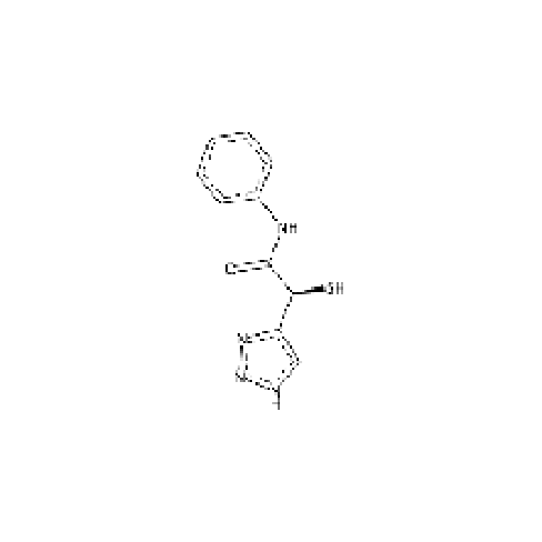 O=C(Nc1ccccc1)[C@@H](S)c1c[nH]nn1